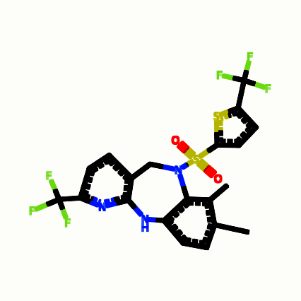 Cc1ccc2c(c1C)N(S(=O)(=O)c1ccc(C(F)(F)F)s1)Cc1ccc(C(F)(F)F)nc1N2